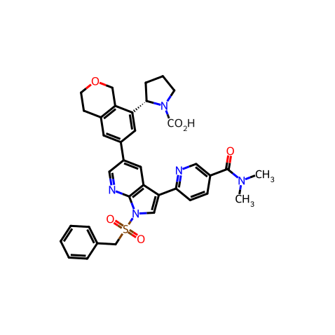 CN(C)C(=O)c1ccc(-c2cn(S(=O)(=O)Cc3ccccc3)c3ncc(-c4cc5c(c([C@@H]6CCCN6C(=O)O)c4)COCC5)cc23)nc1